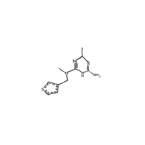 CC1N=C(N)NC(N(C)Cc2ccsc2)=N1